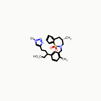 CCn1cc(CCC(CC(=O)O)c2ccc(C)c(CN3C[C@@H](C)Cc4ccccc4S3(=O)=O)c2)nn1